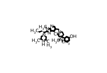 CCC[C@H](c1nc2c(C)c(CN3CCC(c4cccc(O)c4)(N(C)C)CC3)cnc2n1C)N1C[C@@H](C)N[C@@H](C)C1